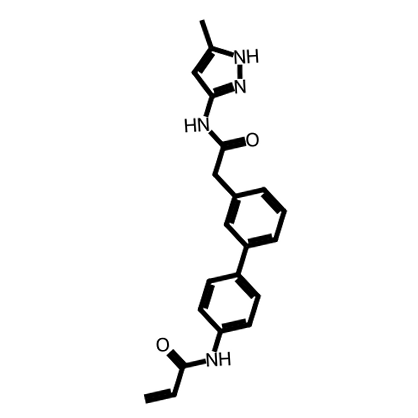 C=CC(=O)Nc1ccc(-c2cccc(CC(=O)Nc3cc(C)[nH]n3)c2)cc1